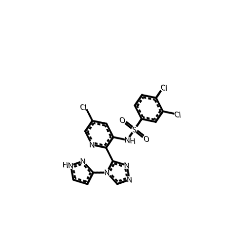 O=S(=O)(Nc1cc(Cl)cnc1-c1nncn1-c1cc[nH]n1)c1ccc(Cl)c(Cl)c1